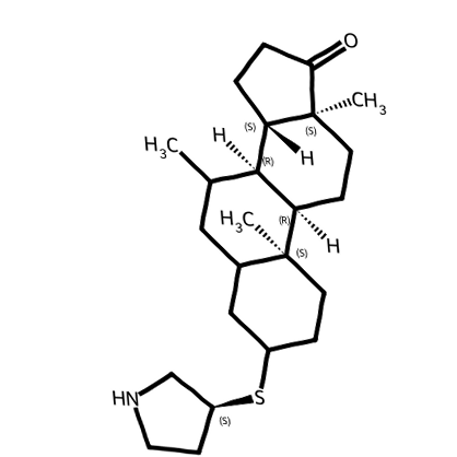 CC1CC2CC(S[C@H]3CCNC3)CC[C@]2(C)[C@@H]2CC[C@]3(C)C(=O)CC[C@H]3[C@H]12